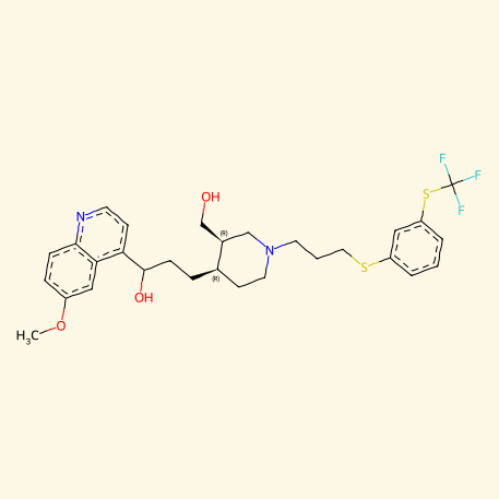 COc1ccc2nccc(C(O)CC[C@@H]3CCN(CCCSc4cccc(SC(F)(F)F)c4)C[C@@H]3CO)c2c1